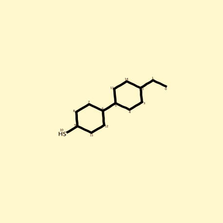 CCC1CCC(C2CCC(S)CC2)CC1